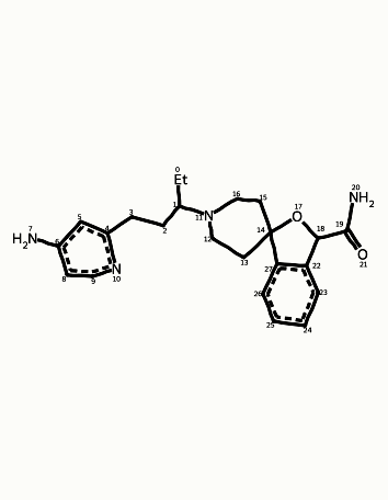 CCC(CCc1cc(N)ccn1)N1CCC2(CC1)OC(C(N)=O)c1ccccc12